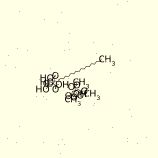 CCCCCCCCCCCCCCCCCCC(C(=O)O)C(O)(CC(=O)O)C(=O)O.COC(=O)CC(O)(CC(=O)OC)C(=O)OC